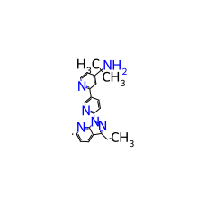 CCc1nn(-c2ccc(-c3cc(C(C)(C)N)ccn3)cn2)c2n[c]ccc12